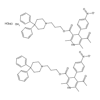 CC(=O)C1=C(C)NC(C)=C(C(=O)OCCCN2CCC(c3ccccc3)(c3ccccc3)CC2)C1c1ccc([N+](=O)[O-])cc1.CC(=O)C1=C(C)NC(C)=C(C(=O)OCCCN2CCC(c3ccccc3)(c3ccccc3)CC2)C1c1ccc([N+](=O)[O-])cc1.Cl.Cl.O